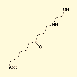 CCCCCCCCCCCCCC(=O)CCCNCCO